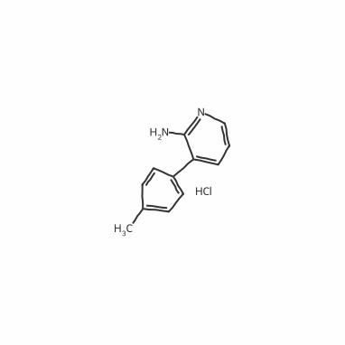 Cc1ccc(-c2cccnc2N)cc1.Cl